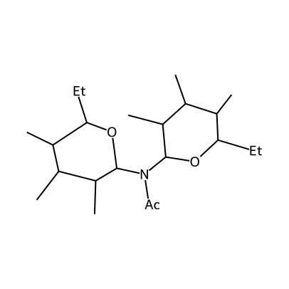 CCC1OC(N(C(C)=O)C2OC(CC)C(C)C(C)C2C)C(C)C(C)C1C